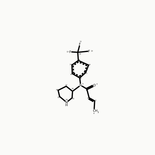 CC=CC(=O)N(c1ccc(C(F)(F)F)cc1)C1CCCNC1